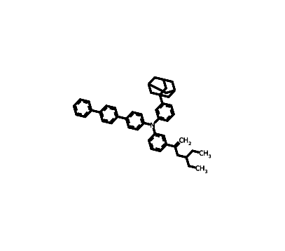 C=C(CC(CC)CC)c1cccc(N(c2ccc(-c3ccc(-c4ccccc4)cc3)cc2)c2cccc(C34CC5CC(CC(C5)C3)C4)c2)c1